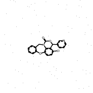 O=C1OC(c2cccnc2)c2c(Cl)ccc3c2N1Cc1ccccc1O3